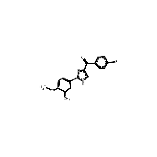 COC1=CC=C(c2nc(C(=O)c3ccc(F)cc3)c[nH]2)CC1C